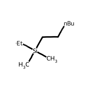 C[CH][Si](C)(C)CCCCCC